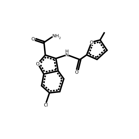 Cc1ccc(C(=O)Nc2c(C(N)=O)oc3cc(Cl)ccc23)o1